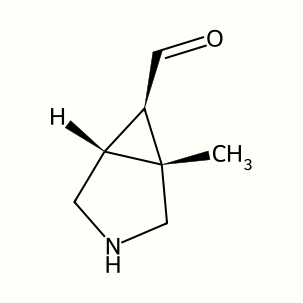 C[C@@]12CNC[C@@H]1[C@H]2C=O